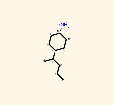 CCCC(C)[C@H]1CC[C@H](N)CC1